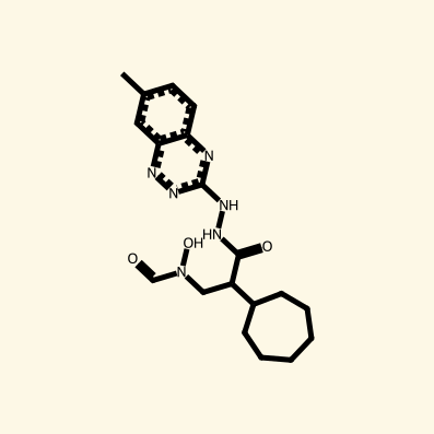 Cc1ccc2nc(NNC(=O)C(CN(O)C=O)C3CCCCCC3)nnc2c1